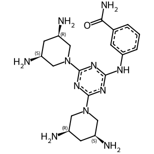 NC(=O)c1cccc(Nc2nc(N3C[C@H](N)C[C@H](N)C3)nc(N3C[C@H](N)C[C@H](N)C3)n2)c1